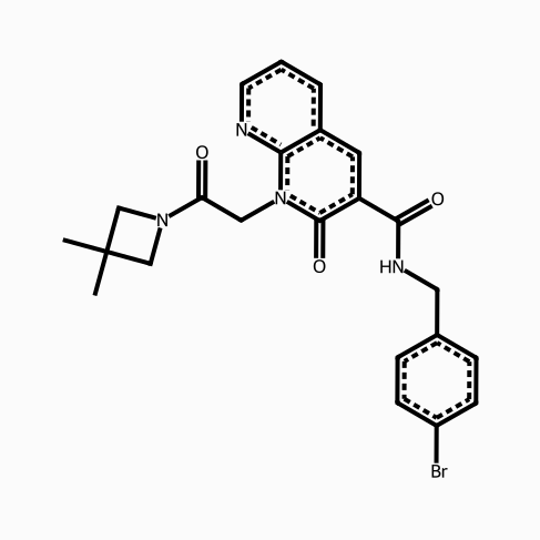 CC1(C)CN(C(=O)Cn2c(=O)c(C(=O)NCc3ccc(Br)cc3)cc3cccnc32)C1